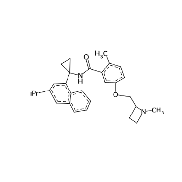 Cc1ccc(OCC2CCN2C)cc1C(=O)NC1(c2cc(C(C)C)cc3ccccc23)CC1